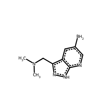 Bc1cnc2[nH]nc(CN(C)C)c2c1